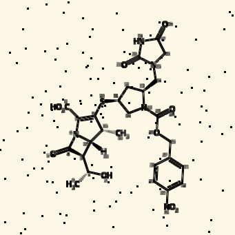 C[C@@H](O)[C@H]1C(=O)N2C(C(=O)O)=C(S[C@H]3C[C@@H](CN4CC(=O)NC4=O)N(C(=O)OCc4ccc([N+](=O)[O-])cc4)C3)[C@H](C)[C@H]12